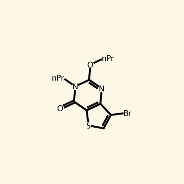 CCCOc1nc2c(Br)csc2c(=O)n1CCC